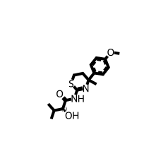 COc1ccc(C2(C)CCSC(NC(=O)[C@@H](O)C(C)C)=N2)cc1